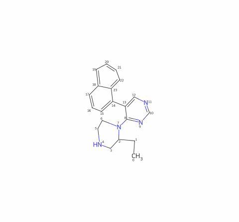 CCC1CNCCN1c1ncncc1-c1cccc2ccccc12